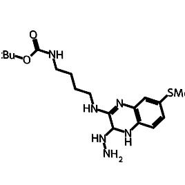 CSc1ccc2c(c1)N=C(NCCCCNC(=O)OC(C)(C)C)C(NN)N2